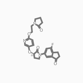 O=C1CCc2c(F)cc(N3CC[C@@H](Oc4ccc(OCCN5CCCC5=O)nc4)C3=O)cc21